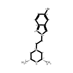 C[C@@H]1CN(CCn2cc3cc(Br)ccc3n2)C[C@H](C)O1